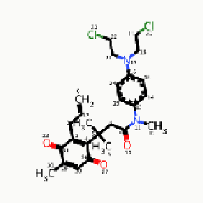 C=CCC1=C(C(C)(C)CC(=O)N(C)c2ccc(N(CCCl)CCCl)cc2)C(=O)C=C(C)C1=O